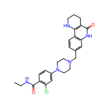 CCNC(=O)c1ccc(N2CCN(Cc3ccc4c5c(c(=O)[nH]c4c3)CCCN5)CC2)cc1Cl